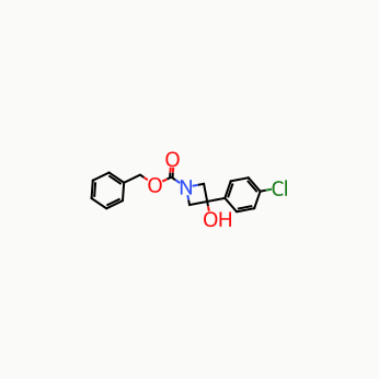 O=C(OCc1ccccc1)N1CC(O)(c2ccc(Cl)cc2)C1